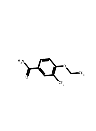 NC(=O)c1ccc(OCC(F)(F)F)c(C(F)(F)F)c1